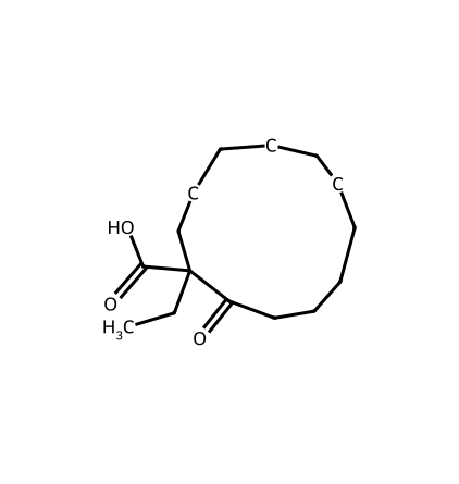 CCC1(C(=O)O)CCCCCCCCCCC1=O